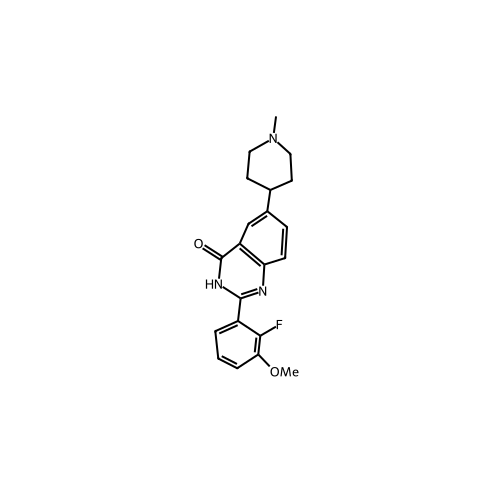 COc1cccc(-c2nc3ccc(C4CCN(C)CC4)cc3c(=O)[nH]2)c1F